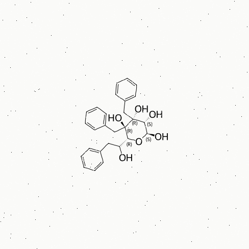 OC(Cc1ccccc1)[C@H]1O[C@H](O)[C@@H](O)[C@](O)(Cc2ccccc2)[C@@]1(O)Cc1ccccc1